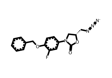 [N-]=[N+]=NC[C@H]1CN(c2ccc(OCc3ccccc3)c(F)c2)C(=O)O1